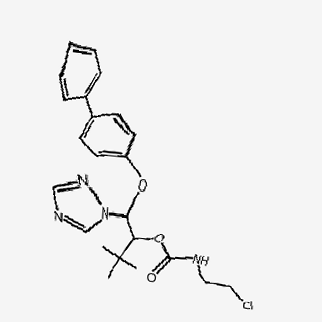 CC(C)(C)C(OC(=O)NCCCl)C(Oc1ccc(-c2ccccc2)cc1)n1cncn1